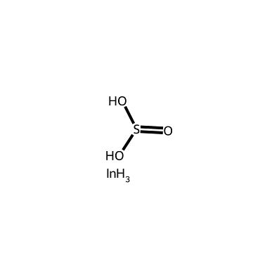 O=S(O)O.[InH3]